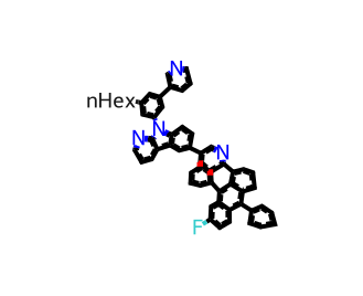 CCCCCCc1cc(-c2cccnc2)cc(-n2c3ccc(-c4ccc(-c5cccc6c(-c7ccccc7)c7ccc(F)cc7c(-c7ccccc7)c56)nc4)cc3c3cccnc32)c1